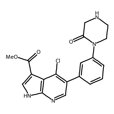 COC(=O)c1c[nH]c2ncc(-c3cccc(N4CCNCC4=O)c3)c(Cl)c12